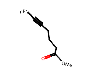 [CH2]CCC#CCCCC(=O)OC